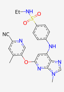 CCNS(=O)(=O)c1ccc(Nc2cc(Oc3cnc(C#N)cc3C)nc3c2ncn3C)cc1